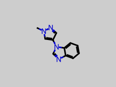 Cn1cc(-n2cnc3ccccc32)cn1